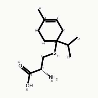 CC1=CCC(SC[C@H](N)C(=O)O)(C(C)C)CC1